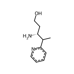 CC(c1ccccn1)[C@H](N)CCO